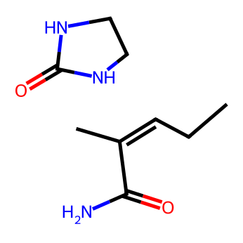 CCC=C(C)C(N)=O.O=C1NCCN1